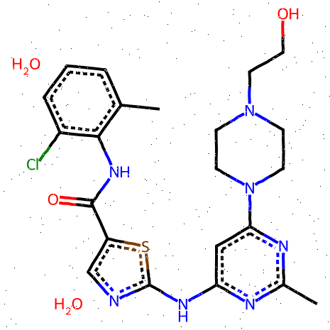 Cc1nc(Nc2ncc(C(=O)Nc3c(C)cccc3Cl)s2)cc(N2CCN(CCO)CC2)n1.O.O